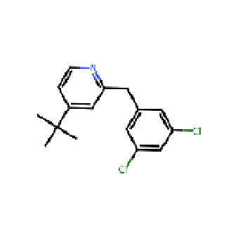 CC(C)(C)c1ccnc(Cc2cc(Cl)cc(Cl)c2)c1